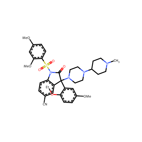 CCOc1ccc(OC)cc1C1(N2CCN(C3CCN(C)CC3)CC2)C(=O)N(S(=O)(=O)c2ccc(OC)cc2OC)c2ccc(C#N)cc21